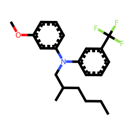 CCCCC(C)CN(c1cccc(OC)c1)c1cccc(C(F)(F)F)c1